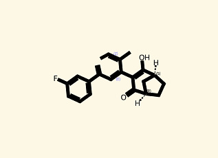 C=C(/C=C(C1=C(O)[C@H]2CC[C@H](C2)C1=O)\C(C)=C/C)c1cccc(F)c1